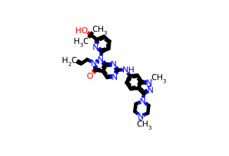 C=CCn1c(=O)c2cnc(Nc3ccc4c(N5CCN(C)CC5)nn(C)c4c3)nc2n1-c1cccc(C(C)(C)O)n1